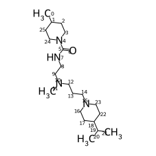 CC1CCN(C(=O)NCCN(C)CCCN2CCC(C(C)C)CC2)CC1